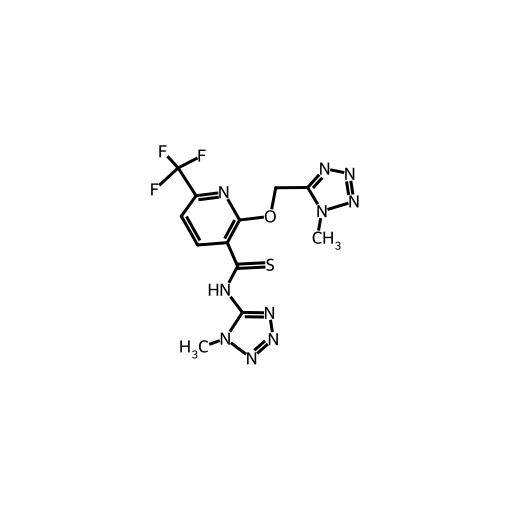 Cn1nnnc1COc1nc(C(F)(F)F)ccc1C(=S)Nc1nnnn1C